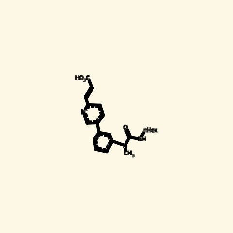 CCCCCCNC(=O)N(C)c1cccc(-c2ccc(C=CC(=O)O)nc2)c1